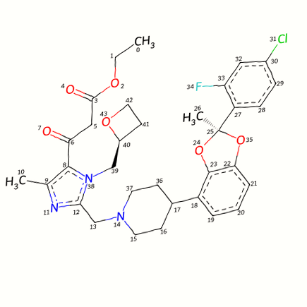 CCOC(=O)CC(=O)c1c(C)nc(CN2CCC(c3cccc4c3O[C@@](C)(c3ccc(Cl)cc3F)O4)CC2)n1C[C@@H]1CCO1